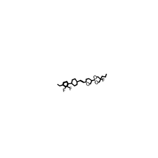 CCCC1(F)COC(C2CCC(/C=C/C3CCC(c4ccc(CC)c(F)c4F)CC3)OC2)OC1